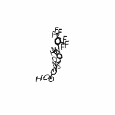 O=C1N=C(N2CCC(C(=O)O)CC2)SC1=Cc1ccc2c(c1)c(I)nn2Cc1ccc(C(F)(F)F)cc1C(F)(F)F